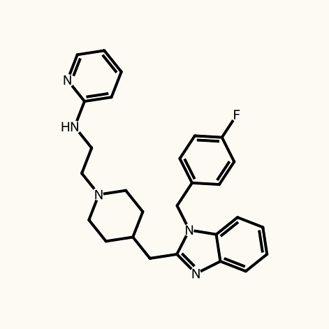 Fc1ccc(Cn2c(CC3CCN(CCNc4ccccn4)CC3)nc3ccccc32)cc1